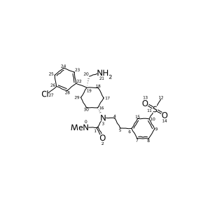 CNC(=O)N(CCc1cccc(S(C)(=O)=O)c1)[C@H]1CC[C@](CN)(c2cccc(Cl)c2)CC1